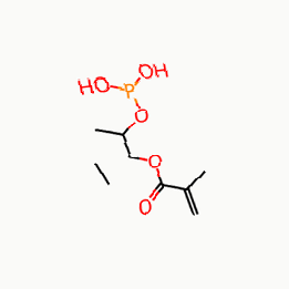 C=C(C)C(=O)OCC(C)OP(O)O.CC